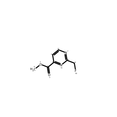 COC(=O)c1ccnc(CF)n1